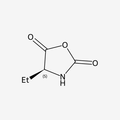 CC[C@@H]1NC(=O)OC1=O